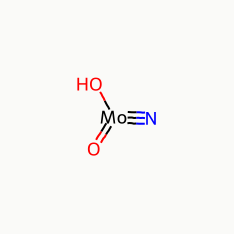 [N]#[Mo](=[O])[OH]